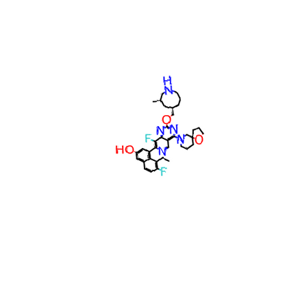 CCc1c(F)ccc2cc(O)cc(-c3ncc4c(N5CCCC6(CCCO6)C5)nc(OC[C@@H]5CCCNC[C@H](C)C5)nc4c3F)c12